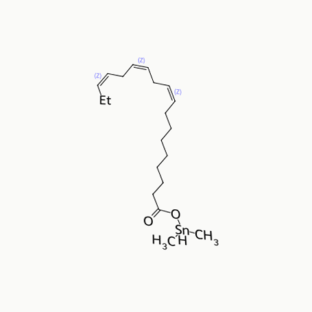 CC/C=C\C/C=C\C/C=C\CCCCCCCC(=O)[O][SnH]([CH3])[CH3]